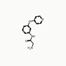 NCC(=O)Nc1cccc(Oc2ccncc2)c1